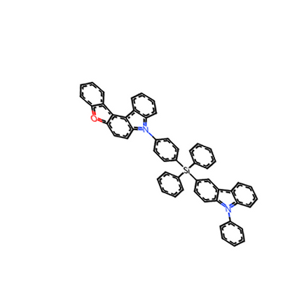 c1ccc(-n2c3ccccc3c3cc([Si](c4ccccc4)(c4ccccc4)c4ccc(-n5c6ccccc6c6c7c(ccc65)oc5ccccc57)cc4)ccc32)cc1